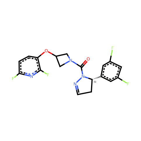 O=C(N1CC(Oc2ccc(F)nc2F)C1)N1N=CC[C@H]1c1cc(F)cc(F)c1